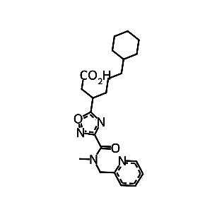 CN(Cc1ccccn1)C(=O)c1noc(C(CCCC2CCCCC2)CC(=O)O)n1